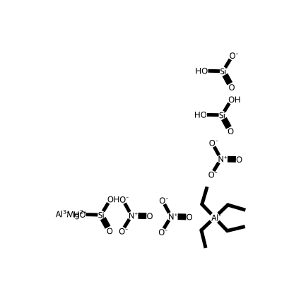 C[CH2][Al-]([CH2]C)([CH2]C)[CH2]C.O=[N+]([O-])[O-].O=[N+]([O-])[O-].O=[N+]([O-])[O-].O=[Si](O)O.O=[Si](O)O.O=[Si]([O-])O.[Al+3].[Mg+2]